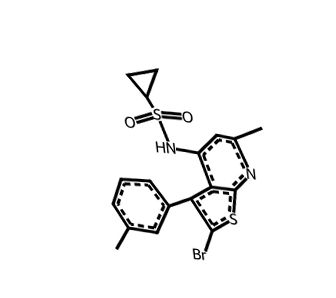 Cc1cccc(-c2c(Br)sc3nc(C)cc(NS(=O)(=O)C4CC4)c23)c1